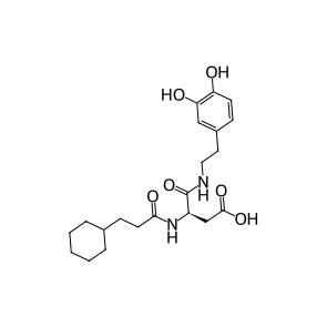 O=C(O)C[C@@H](NC(=O)CCC1CCCCC1)C(=O)NCCc1ccc(O)c(O)c1